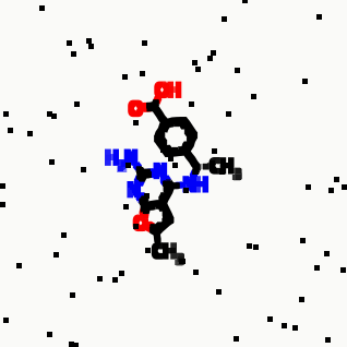 Cc1cc2c(N[C@@H](C)c3ccc(C(=O)O)cc3)nc(N)nc2o1